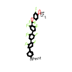 CCCCCc1ccc(-c2cc(F)c(-c3cc(F)c(-c4cc(F)c(C(F)(F)Oc5ccc(OC(F)(F)F)c(F)c5)c(F)c4)c(F)c3)c(F)c2)cc1